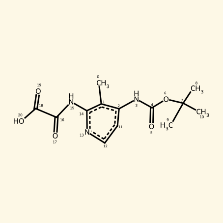 Cc1c(NC(=O)OC(C)(C)C)ccnc1NC(=O)C(=O)O